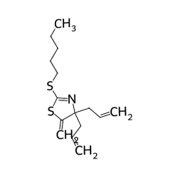 C=CCC1(CC=C)N=C(SCCCCC)SC1=C